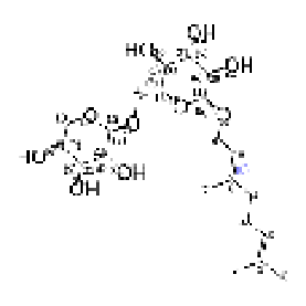 CC(C)=CCC/C(C)=C/CO[C@H]1O[C@H](CO[C@@H]2OC[C@@H](O)[C@H](O)[C@H]2O)[C@@H](O)[C@H](O)[C@H]1O